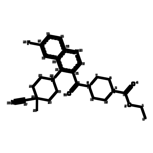 CCOC(=O)N1CCN(C(=O)c2cnc3ccc(F)cc3c2N2CCC(C)(C#N)CC2)CC1